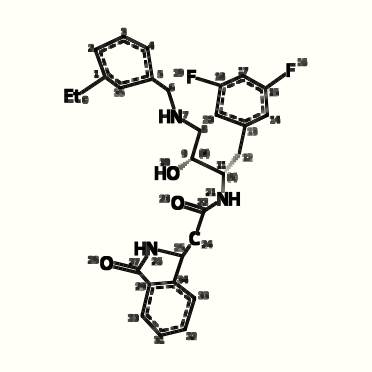 CCc1cccc(CNC[C@@H](O)[C@H](Cc2cc(F)cc(F)c2)NC(=O)CC2NC(=O)c3ccccc32)c1